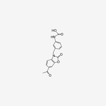 CC(=O)c1ccc2c(c1)oc(=O)n2Cc1cccc(NC(=O)O)c1